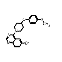 CSc1ccc(OC2CCN(c3ncnc4ccc(Br)cc34)CC2)cc1